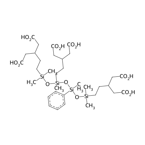 C[Si](C)(CCC(CC(=O)O)CC(=O)O)O[Si](C)(CCC(CC(=O)O)CC(=O)O)O[Si](C)(O[Si](C)(C)CCC(CC(=O)O)CC(=O)O)c1ccccc1